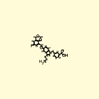 NCCc1cn(Cc2cccc(C(=O)O)c2)c2ccc(OCc3cc(F)cc4c3OCOC4)cc12